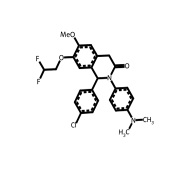 COc1cc2c(cc1OCC(F)F)C(c1ccc(Cl)cc1)N(c1ccc(N(C)C)cc1)C(=O)C2